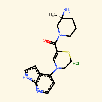 C[C@]1(N)CCCN(C(=O)C2=CN(c3ccnc4[nH]ccc34)CCS2)C1.Cl